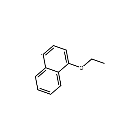 CCOc1cc[c]c2ccccc12